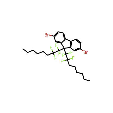 CCCCCCC(F)(F)C(F)(F)C1(C(F)(F)C(F)(F)CCCCCC)c2cc(Br)ccc2-c2ccc(Br)cc21